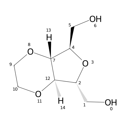 OC[C@H]1O[C@H](CO)[C@H]2OCCO[C@@H]21